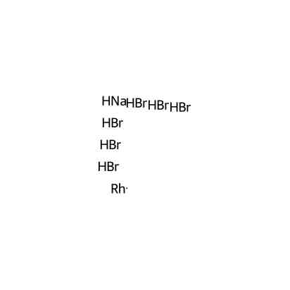 Br.Br.Br.Br.Br.Br.[NaH].[Rh]